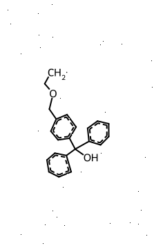 [CH2]COCc1ccc(C(O)(c2ccccc2)c2ccccc2)cc1